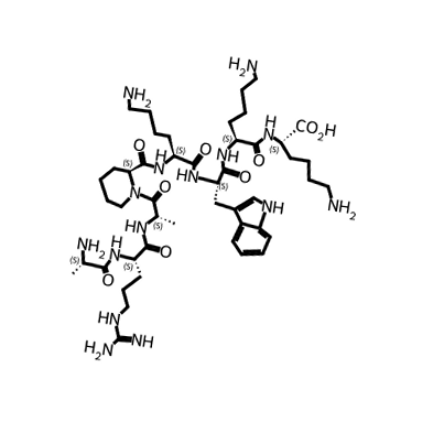 C[C@H](N)C(=O)N[C@@H](CCCNC(=N)N)C(=O)N[C@@H](C)C(=O)N1CCCC[C@H]1C(=O)N[C@@H](CCCCN)C(=O)N[C@@H](Cc1c[nH]c2ccccc12)C(=O)N[C@@H](CCCCN)C(=O)N[C@@H](CCCCN)C(=O)O